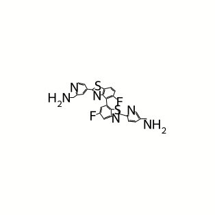 NCc1ccc(-c2nc3cc(F)cc(-c4c(F)ccc5sc(-c6ccnc(CN)c6)nc45)c3s2)nc1